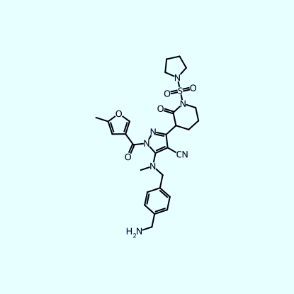 Cc1cc(C(=O)n2nc(C3CCCN(S(=O)(=O)N4CCCC4)C3=O)c(C#N)c2N(C)Cc2ccc(CN)cc2)co1